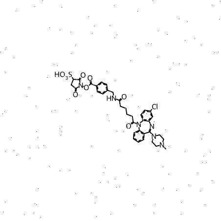 CN1CCN(C2=Nc3cc(Cl)ccc3N(C(=O)CCCCC(=O)NCc3ccc(C(=O)ON4C(=O)CC(S(=O)(=O)O)C4=O)cc3)c3ccccc32)CC1